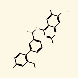 COc1cc2nc(C)nc(N[C@H](C)c3cccc(-c4ccc(F)cc4CN)c3)c2cc1OC